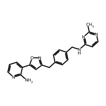 Cc1nccc(NCc2ccc(Cc3cc(-c4cccnc4N)on3)cc2)n1